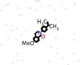 C/C=C(/C)c1ccc(N2CCc3cc(OC)ccc3C2=O)cc1